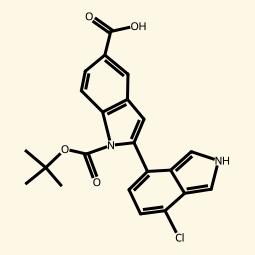 CC(C)(C)OC(=O)n1c(-c2ccc(Cl)c3c[nH]cc23)cc2cc(C(=O)O)ccc21